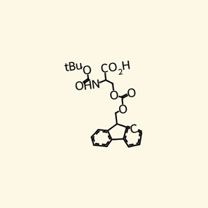 CC(C)(C)OC(=O)NC(COC(=O)OCC1c2ccccc2-c2ccccc21)C(=O)O